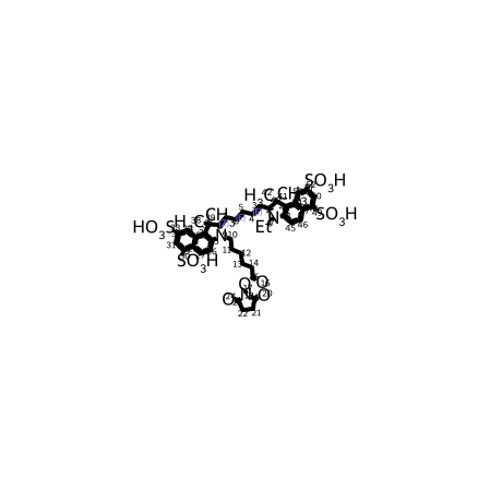 CC[N+]1=C(/C=C/C=C/C=C2\N(CCCCCC(=O)ON3C(=O)CCC3=O)c3ccc4c(S(=O)(=O)O)cc(S(=O)(=O)O)cc4c3C2(C)C)C(C)(C)c2c1ccc1c(S(=O)(=O)O)cc(S(=O)(=O)O)cc21